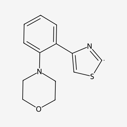 [c]1nc(-c2ccccc2N2CCOCC2)cs1